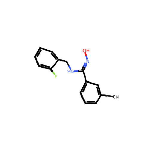 N#Cc1cccc(C(=NO)NCc2ccccc2F)c1